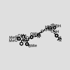 COc1cccc(C(CCc2ccc(OCc3cn(CCOCCOCC(=O)N[C@H](C(=O)N4C[C@H](O)C[C@H]4C(=O)NCc4ccc(-c5scnc5C)cc4)C(C)(C)C)nn3)c(OC)c2)OC(=O)C2CCCCN2C(=O)[C@H](c2cc(OC)c(OC)c(OC)c2)C2CCCCC2)c1